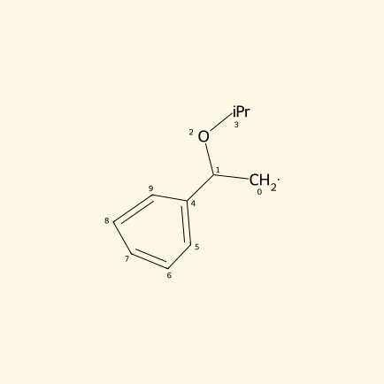 [CH2]C(OC(C)C)c1ccccc1